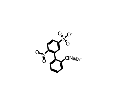 O=S([O-])c1ccc(S(=O)(=O)[O-])cc1-c1ccccc1Cl.[Na+].[Na+]